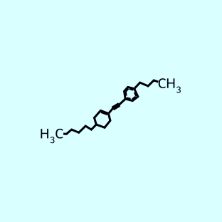 CCCCCCC1CC=C(C#Cc2ccc(CCCC)cc2)CC1